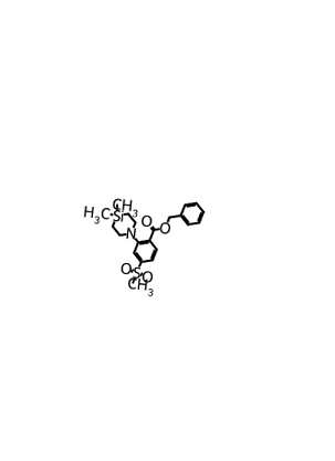 C[Si]1(C)CCN(c2cc(S(C)(=O)=O)ccc2C(=O)OCc2ccccc2)CC1